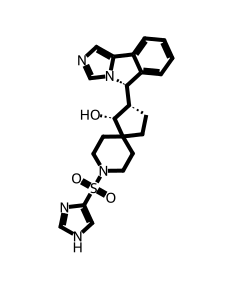 O=S(=O)(c1c[nH]cn1)N1CCC2(CC[C@@H]([C@H]3c4ccccc4-c4cncn43)[C@H]2O)CC1